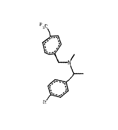 CCc1ccc(C(C)N(C)Cc2ccc(C(F)(F)F)cc2)cc1